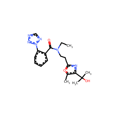 CCN(CCc1nc(C(C)(C)O)c(C)o1)C(=O)c1ccccc1-n1ncnn1